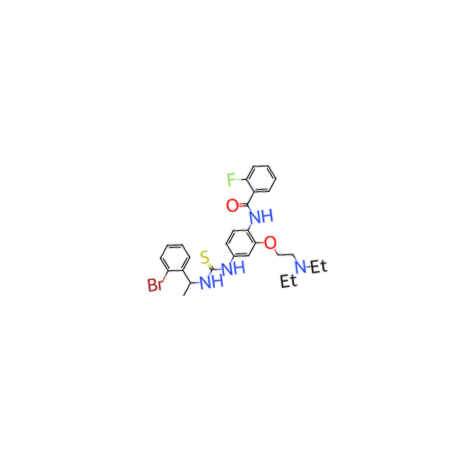 CCN(CC)CCOc1cc(NC(=S)NC(C)c2ccccc2Br)ccc1NC(=O)c1ccccc1F